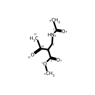 COC(=O)C(CNC(C)=O)C(C)=O